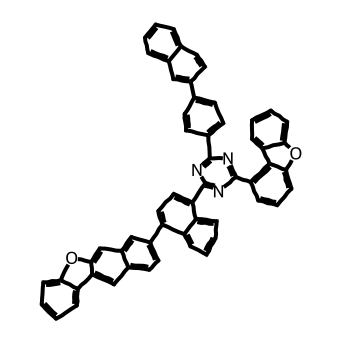 c1ccc2cc(-c3ccc(-c4nc(-c5ccc(-c6ccc7cc8c(cc7c6)oc6ccccc68)c6ccccc56)nc(-c5cccc6oc7ccccc7c56)n4)cc3)ccc2c1